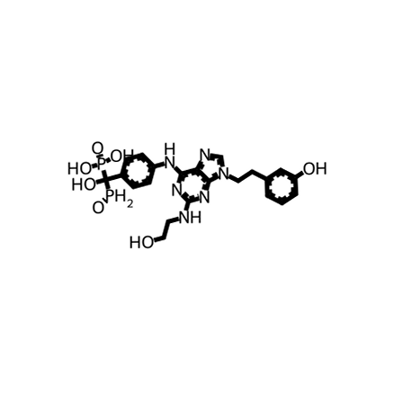 O=[PH2]C(O)(c1ccc(Nc2nc(NCCO)nc3c2ncn3CCc2cccc(O)c2)cc1)P(=O)(O)O